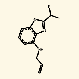 C=CCNc1cccc2c1N=C(C(F)F)[N]2